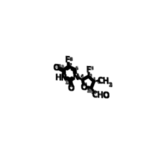 C[C@H]1[C@H](F)[C@H](n2cc(F)c(=O)[nH]c2=O)O[C@@H]1C=O